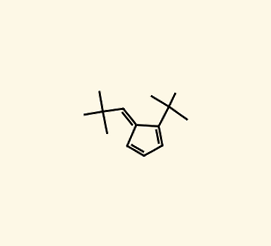 CC(C)(C)C=C1C=CC=C1C(C)(C)C